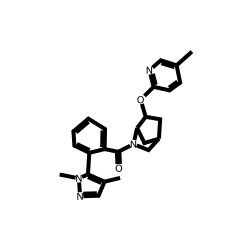 Cc1ccc(OC2CC3CC2N(C(=O)c2ccccc2-c2c(C)cnn2C)C3)nc1